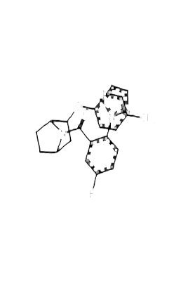 O=C(c1cc(F)ccc1-n1nccn1)N1C2CCC1C(Oc1ccc(C(F)(F)F)cn1)C2